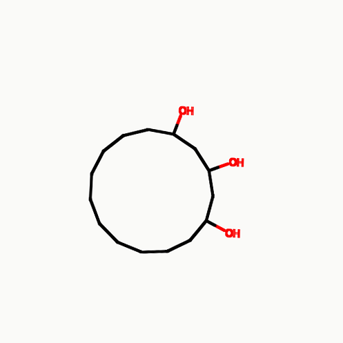 OC1CCCCCCCCCCC(O)CC(O)C1